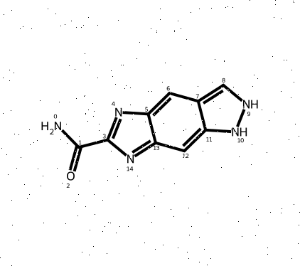 NC(=O)c1nc2cc3c[nH][nH]c3cc2n1